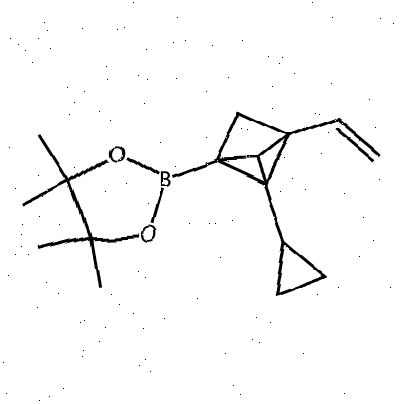 C=CC12CC(B3OC(C)(C)C(C)(C)O3)(C1)C2C1CC1